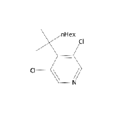 CCCCCCC(C)(C)c1c(Cl)cncc1Cl